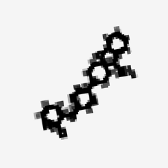 N[C@@H]1c2ccccc2OC12CCN(c1cnc(Sc3cccnc3Cl)cn1)CC2